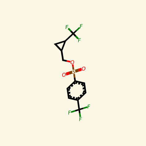 O=S(=O)(OCC1CC1C(F)(F)F)c1ccc(C(F)(F)F)cc1